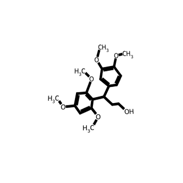 COc1cc(OC)c(C(CCO)c2ccc(OC)c(OC)c2)c(OC)c1